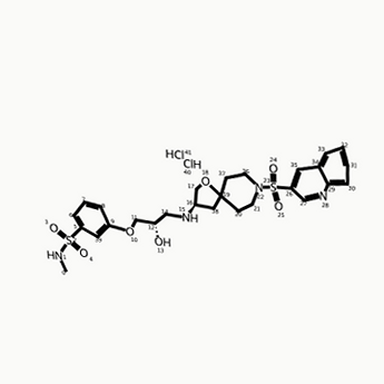 CNS(=O)(=O)c1cccc(OC[C@@H](O)CN[C@H]2COC3(CCN(S(=O)(=O)c4cnc5ccccc5c4)CC3)C2)c1.Cl.Cl